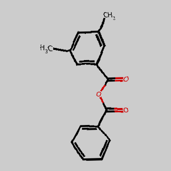 Cc1cc(C)cc(C(=O)OC(=O)c2ccccc2)c1